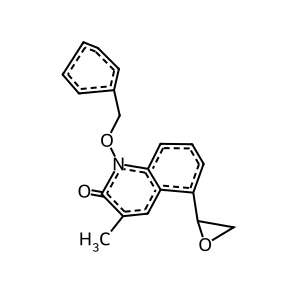 Cc1cc2c(C3CO3)cccc2n(OCc2ccccc2)c1=O